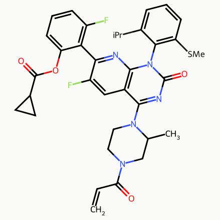 C=CC(=O)N1CCN(c2nc(=O)n(-c3c(SC)cccc3C(C)C)c3nc(-c4c(F)cccc4OC(=O)C4CC4)c(F)cc23)C(C)C1